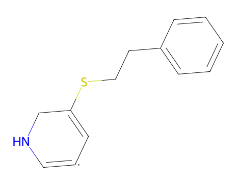 [C]1=CNCC(SCCc2ccccc2)=C1